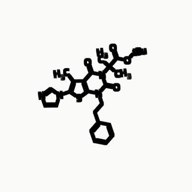 Cc1c(-n2ccnc2)sc2c1c(=O)n(C(C)(C)C(=O)OC(C)(C)C)c(=O)n2CCc1ccccc1